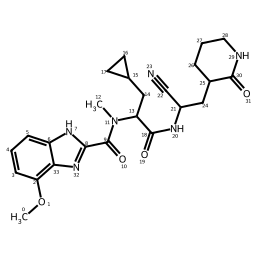 COc1cccc2[nH]c(C(=O)N(C)C(CC3CC3)C(=O)NC(C#N)CC3CCCNC3=O)nc12